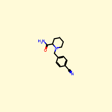 N#Cc1ccc(CN2CC[CH]CC2C(N)=O)cc1